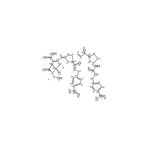 C[C@@H](O)[C@H]1C(=O)N2C(C(=O)O)=C(S[C@H]3C[C@H](/C=C/C(=O)N4CC[C@H](NC(=O)OCc5ccc([N+](=O)[O-])cc5)C4)N(C(=O)OCc4ccc([N+](=O)[O-])cc4)C3)[C@H](C)[C@H]12